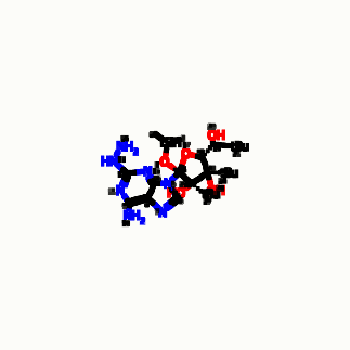 C[SiH](C)O[C@@]1(n2cnc3c(N)nc(NN)nc32)O[C@H](C(O)C(C)(C)C)[C@](O)(C(C)(C)C)[C@]1(O)C(C)(C)C